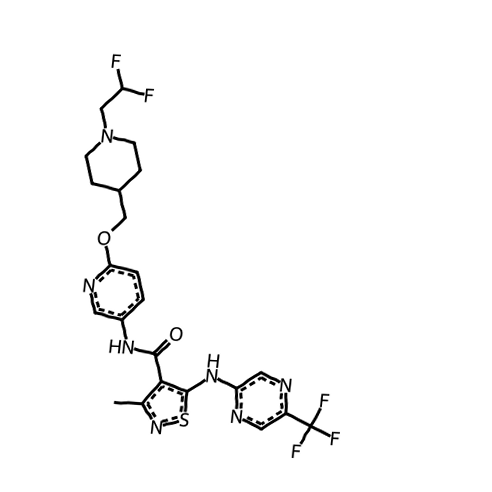 Cc1nsc(Nc2cnc(C(F)(F)F)cn2)c1C(=O)Nc1ccc(OCC2CCN(CC(F)F)CC2)nc1